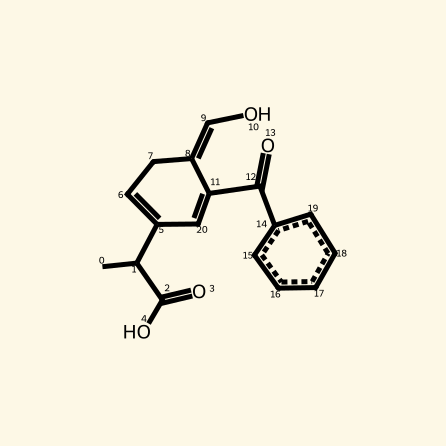 CC(C(=O)O)C1=CCC(=CO)C(C(=O)c2ccccc2)=C1